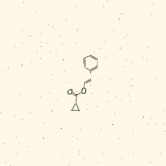 O=C(OC=Cc1ccccc1)C1CC1